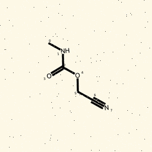 CNC(=O)OCC#N